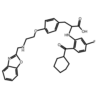 O=C(c1ccc(F)cc1NC(Cc1ccc(OCCNCc2nc3ccccc3o2)cc1)C(=O)O)C1CCCCC1